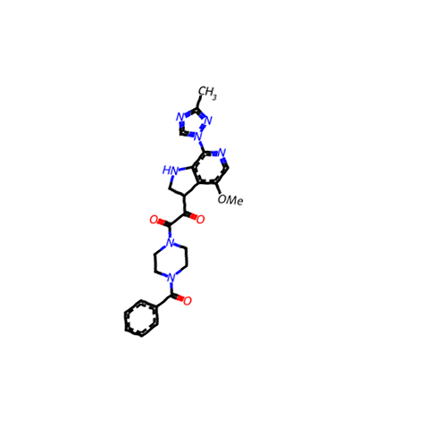 COc1cnc(-n2cnc(C)n2)c2c1C(C(=O)C(=O)N1CCN(C(=O)c3ccccc3)CC1)CN2